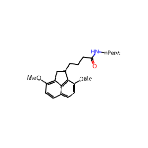 CCCCCNC(=O)CCCC1Cc2c(OC)ccc3ccc(OC)c1c23